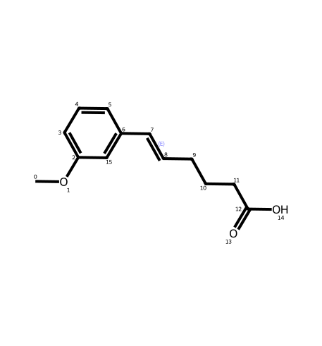 COc1cccc(/C=C/CCCC(=O)O)c1